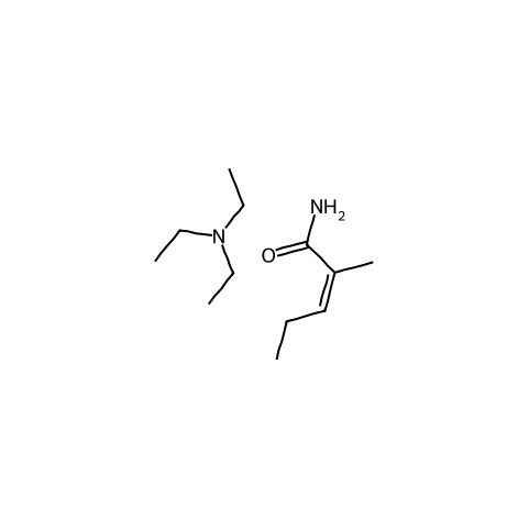 CCC=C(C)C(N)=O.CCN(CC)CC